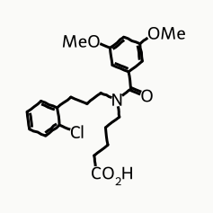 COc1cc(OC)cc(C(=O)N(CCCCC(=O)O)CCCc2ccccc2Cl)c1